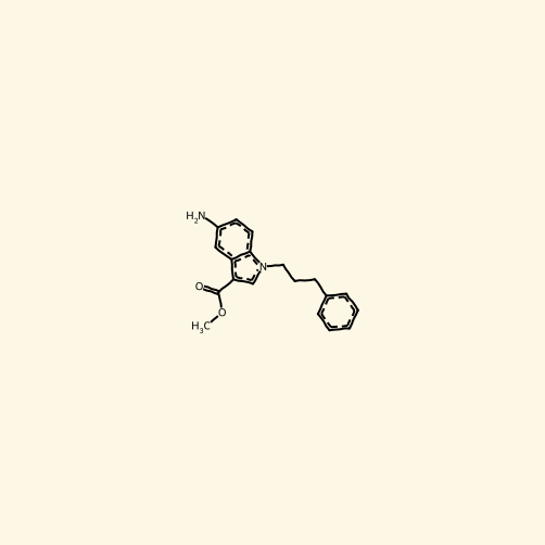 COC(=O)c1cn(CCCc2ccccc2)c2ccc(N)cc12